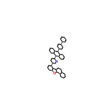 c1ccc(-c2ccc(-c3c4ccccc4c(-c4ccc(-c5cccc6oc7c8ccccc8ccc7c56)cn4)c4ccccc34)cc2)cc1